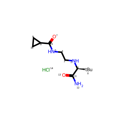 CC(C)(C)[C@H](NCCNC(=O)C1CC1)C(N)=O.Cl